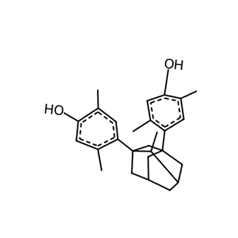 Cc1cc(C23CC4CC(C2)C(C)C(c2cc(C)c(O)cc2C)(C4)C3)c(C)cc1O